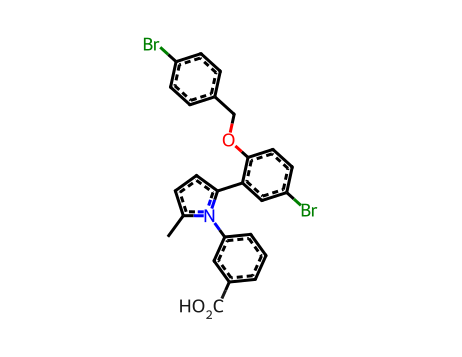 Cc1ccc(-c2cc(Br)ccc2OCc2ccc(Br)cc2)n1-c1cccc(C(=O)O)c1